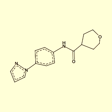 O=C(Nc1ccc(-n2cccn2)cc1)C1CCOCC1